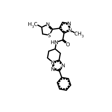 CC1CSC(c2cnn(C)c2C(=O)NC2CCn3nc(-c4ccccc4)nc3C2)=N1